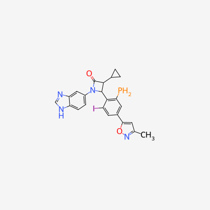 Cc1cc(-c2cc(P)c(C3C(C4CC4)C(=O)N3c3ccc4[nH]cnc4c3)c(I)c2)on1